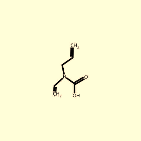 C=CCN(C=C)C(=O)O